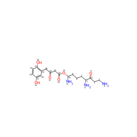 NCCC(=O)C(N)CCCC(N)OC(=O)CC(=O)Cc1cc(O)ccc1O